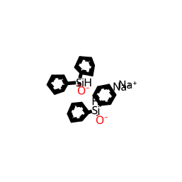 [Na+].[Na+].[O-][SiH](c1ccccc1)c1ccccc1.[O-][SiH](c1ccccc1)c1ccccc1